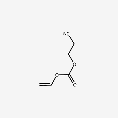 C=COC(=O)OCCC#N